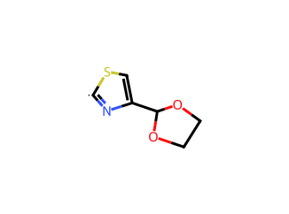 [c]1nc(C2OCCO2)cs1